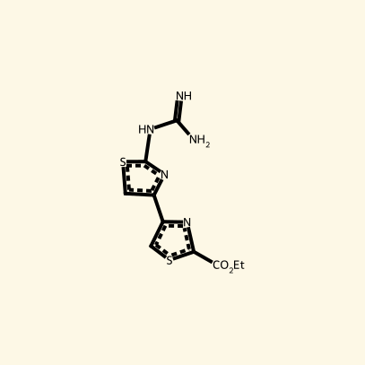 CCOC(=O)c1nc(-c2csc(NC(=N)N)n2)cs1